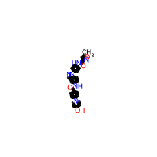 Cc1cc(C(=O)Nc2ccc(-n3ncc4cc(NC(=O)c5ccc(N6CCC(O)CC6)cc5)ccc43)cc2)no1